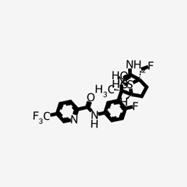 C[C@]1(c2cc(NC(=O)c3ccc(C(F)(F)F)cn3)ccc2F)N=C(N)[C@@]2(CF)CC[C@@H]1S2(O)O